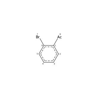 [CH2]C(=O)c1ccccc1Br